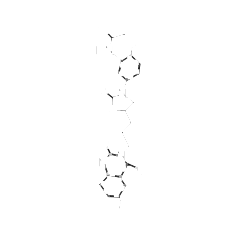 O=C1CSc2ccc(N3CC(CCCn4c(=O)[nH]c5ccc(Cl)cc5c4=O)OC3=O)cc2N1